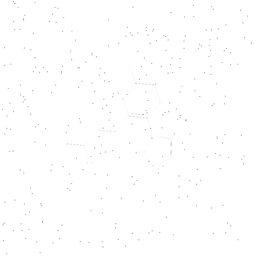 CCOC(C)OCc1cc(F)ccc1B1CCCO1